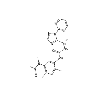 CC(=O)N(C)c1cc(NC(=O)N[C@@H](C)c2ncnn2-c2ncccn2)c(C)cc1C